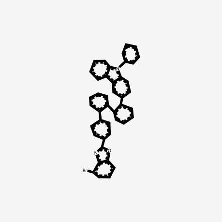 Brc1cccc2oc(-c3ccc(-c4ccccc4-c4ccccc4-c4ccc5c(c4)c4ccccc4n5-c4ccccc4)cc3)nc12